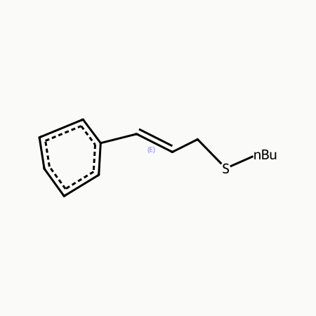 CCCCSC/C=C/c1ccccc1